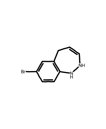 Brc1ccc2c(c1)CC=CNN2